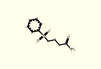 NC(=O)CCCS(=O)(=O)c1ccccc1